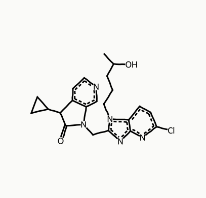 CC(O)CCCn1c(CN2C(=O)C(C3CC3)c3ccncc32)nc2nc(Cl)ccc21